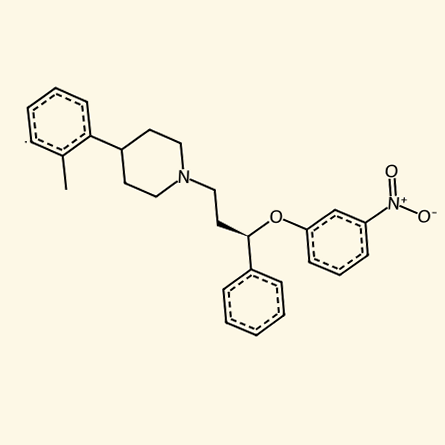 Cc1[c]cccc1C1CCN(CC[C@@H](Oc2cccc([N+](=O)[O-])c2)c2ccccc2)CC1